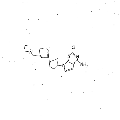 Nc1nc(Cl)nc2c1ccn2C1CCC(c2cccc(CN3CCC3)c2)C1